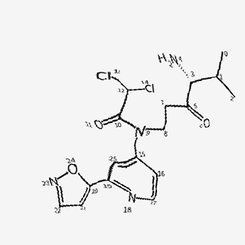 CC(C)[C@@H](N)C(=O)CCN(C(=O)C(Cl)Cl)c1ccnc(-c2ccno2)c1